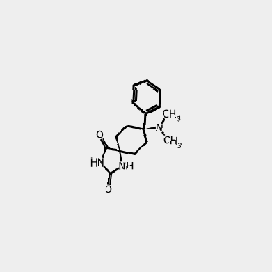 CN(C)[C@]1(c2ccccc2)CC[C@@]2(CC1)NC(=O)NC2=O